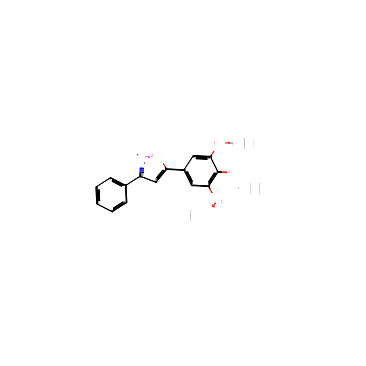 COc1cc(-c2cc(-c3ccccc3)no2)cc(OC)c1OC